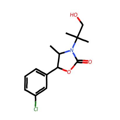 CC1C(c2cccc(Cl)c2)OC(=O)N1C(C)(C)CO